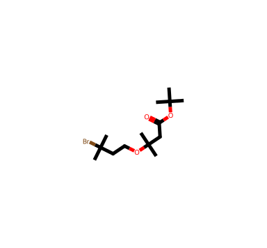 CC(C)(Br)CCOC(C)(C)CC(=O)OC(C)(C)C